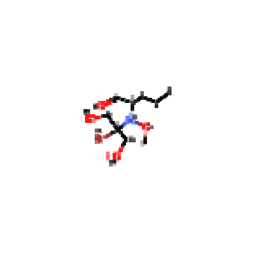 CCCC(C=O)N(OC)C(Br)(CO)CO